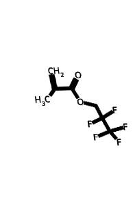 C=C(C)C(=O)OCC(F)(F)C(F)(F)F